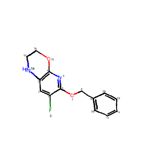 Fc1cc2c(nc1OCc1ccccc1)OCCN2